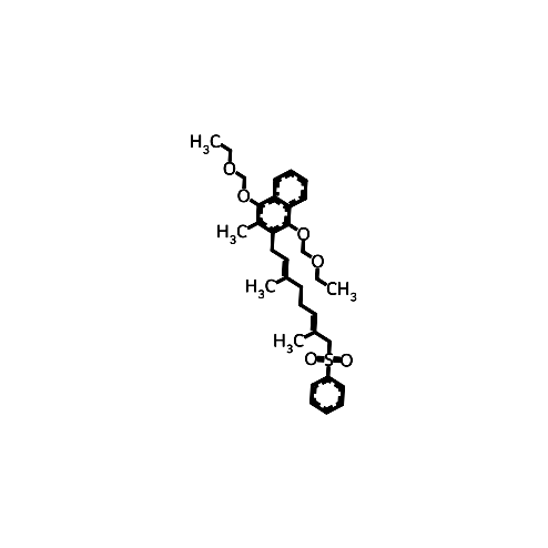 CCOCOc1c(C)c(C/C=C(\C)CC/C=C(\C)CS(=O)(=O)c2ccccc2)c(OCOCC)c2ccccc12